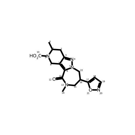 CC1Cc2nn3c(c2CN1C(=O)O)C(=O)N(C)CC(c1ccno1)C3